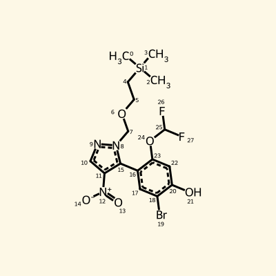 C[Si](C)(C)CCOCn1ncc([N+](=O)[O-])c1-c1cc(Br)c(O)cc1OC(F)F